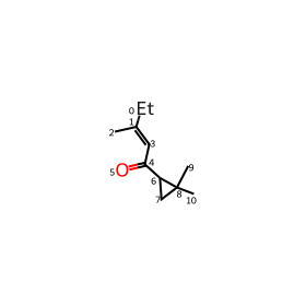 CCC(C)=CC(=O)C1CC1(C)C